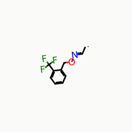 [CH2]C=NOCc1ccccc1C(F)(F)F